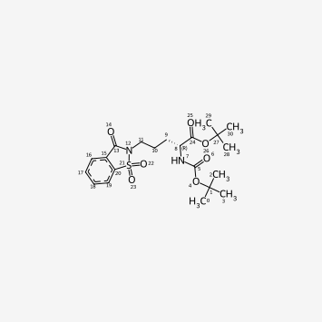 CC(C)(C)OC(=O)N[C@H](CCCN1C(=O)c2ccccc2S1(=O)=O)C(=O)OC(C)(C)C